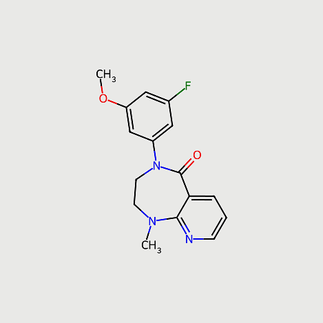 COc1cc(F)cc(N2CCN(C)c3ncccc3C2=O)c1